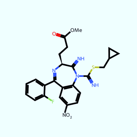 COC(=O)CC[C@@H]1N=C(c2ccccc2F)c2cc([N+](=O)[O-])ccc2N(C(=N)SCC2CC2)C1=N